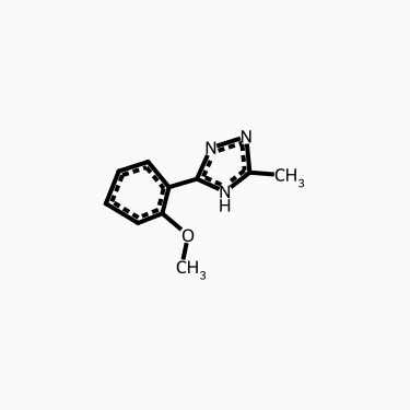 COc1ccccc1-c1nnc(C)[nH]1